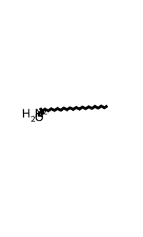 CCCCCCCCCCCCCCCCCCCCCC(C)(C)[NH2+][O-]